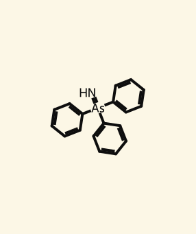 N=[As](c1ccccc1)(c1ccccc1)c1ccccc1